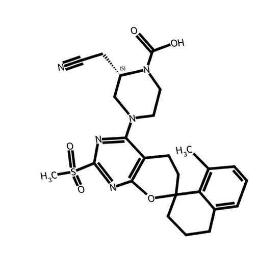 Cc1cccc2c1C1(CCC2)CCc2c(nc(S(C)(=O)=O)nc2N2CCN(C(=O)O)[C@@H](CC#N)C2)O1